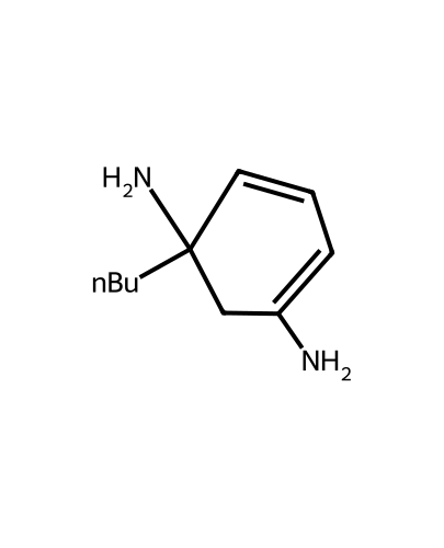 CCCCC1(N)C=CC=C(N)C1